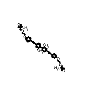 Cc1cc(C#Cc2ccc(OCCOCC3(C)COC3)cc2)ccc1-c1ccc(C#Cc2ccc(OCCOCC3(C)COC3)cc2)cc1C